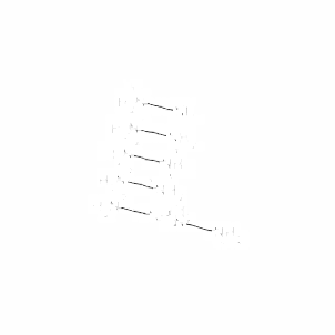 NN.NN.NN.NN.NN.NN